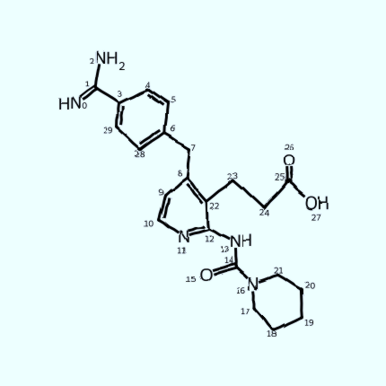 N=C(N)c1ccc(Cc2ccnc(NC(=O)N3CCCCC3)c2CCC(=O)O)cc1